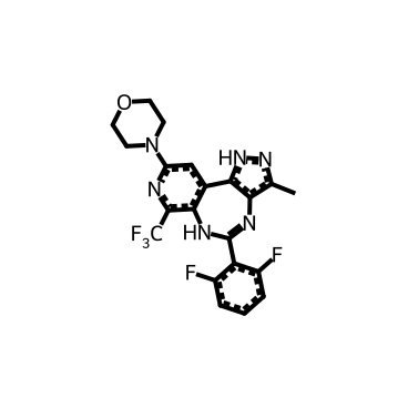 Cc1n[nH]c2c1N=C(c1c(F)cccc1F)Nc1c-2cc(N2CCOCC2)nc1C(F)(F)F